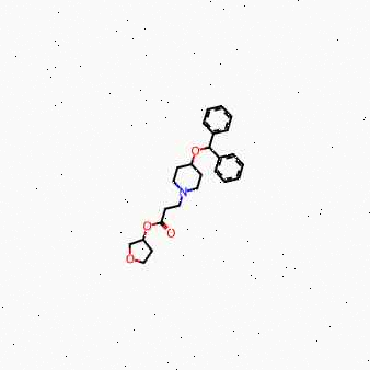 O=C(CCN1CCC(OC(c2ccccc2)c2ccccc2)CC1)OC1CCOC1